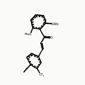 COc1cccc(OC)c1C(=O)/C=C/c1ccc(C)c(C(F)(F)F)c1